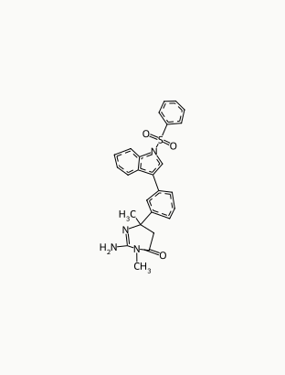 CN1C(=O)CC(C)(c2cccc(-c3cn(S(=O)(=O)c4ccccc4)c4ccccc34)c2)N=C1N